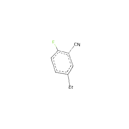 [CH2]Cc1ccc(F)c(C#N)c1